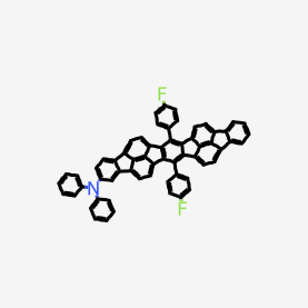 Fc1ccc(-c2c3c4ccc5c6c(ccc(c3c(-c3ccc(F)cc3)c3c7ccc8c9c(ccc(c23)c97)-c2ccc(N(c3ccccc3)c3ccccc3)cc2-8)c64)-c2ccccc2-5)cc1